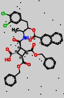 CC(NC(=O)[C@@H]1[C@@H](C(=O)O)[C@H](C(=O)OCc2ccccc2)[C@@H]1C(=O)OCc1ccccc1)C(Cc1ccc(Cl)c(Cl)c1)OC(=O)c1ccc2ccccc2c1